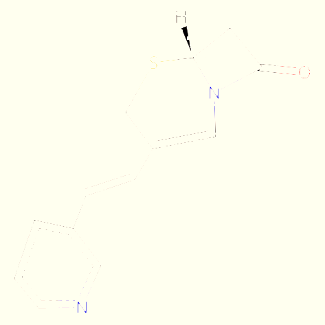 O=C1C[C@H]2SCC(C=Cc3cccnc3)=CN12